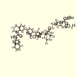 Cc1c(-c2ccc(-c3ccc4c(c3)N(C(=O)Nc3nc5ccccc5s3)CCC4)nc2C(=O)O)cnn1CC12CC3(C)CC(C)(C1)CC(OCCN(C)C[C@H](CS(=O)(=O)O)NC(=O)OC(C)(C)C)(C3)C2